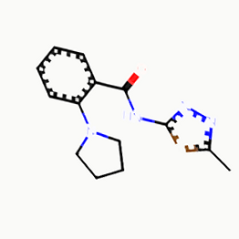 Cc1nnc(NC(=O)c2ccccc2N2CCCC2)s1